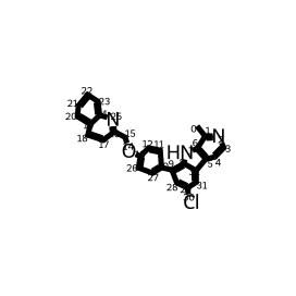 Cc1nccc2c1[nH]c1c(-c3ccc(OCc4ccc5ccccc5n4)cc3)cc(Cl)cc12